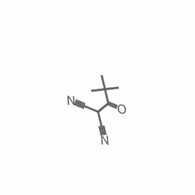 CC(C)(C)C(=O)C(C#N)C#N